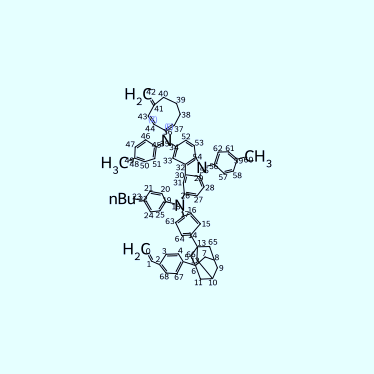 C=Cc1ccc(C23CC4CC(C2)CC(c2ccc(N(c5ccc(CCCC)cc5)c5ccc6c(c5)c5cc(N(C7=C/CCCC(=C)/C=C\7)c7ccc(C)cc7)ccc5n6-c5ccc(C)cc5)cc2)(C4)C3)cc1